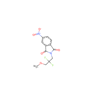 COCC(F)(F)CN1C(=O)c2ccc([N+](=O)[O-])cc2C1=O